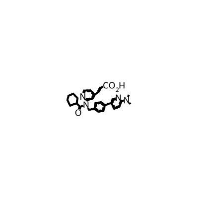 CN(C)c1ccc(-c2ccc(CN(C(=O)C3CCCCC3)c3cc(C=CC(=O)O)ccn3)cc2)cn1